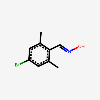 Cc1cc(Br)cc(C)c1/C=N/O